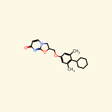 Cc1cc(OCC2Cn3ccc(=O)nc3O2)cc(C)c1C1CCCCC1